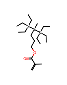 C=C(C)C(=O)OCCC[Si](C)([Si](CC)(CC)CC)[Si](CC)(CC)CC